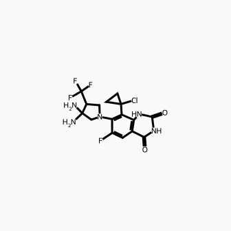 NC1(N)CN(c2c(F)cc3c(=O)[nH]c(=O)[nH]c3c2C2(Cl)CC2)CC1C(F)(F)F